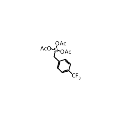 CC(=O)O[Si](Cc1ccc(C(F)(F)F)cc1)(OC(C)=O)OC(C)=O